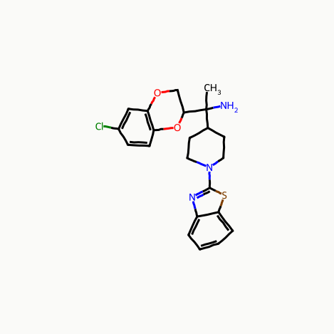 CC(N)(C1CCN(c2nc3ccccc3s2)CC1)C1COc2cc(Cl)ccc2O1